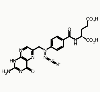 [N-]=[N+]=NN(Cc1cnc2[nH]c(N)nc(=O)c2n1)c1ccc(C(=O)N[C@@H](CCC(=O)O)C(=O)O)cc1